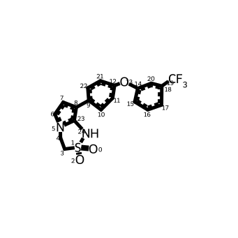 O=S1(=O)CCn2ccc(-c3ccc(Oc4cccc(C(F)(F)F)c4)cc3)c2N1